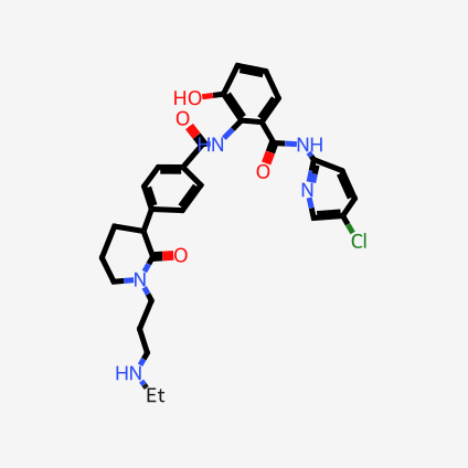 CCNCCCN1CCCC(c2ccc(C(=O)Nc3c(O)cccc3C(=O)Nc3ccc(Cl)cn3)cc2)C1=O